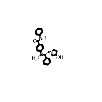 CN(c1ccc(C(=O)Nc2ccccc2)cc1)[C@H](CN1CC[C@H](O)C1)c1ccccc1